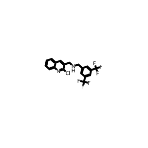 FC(F)(F)c1cc(CNCc2cc3ccccc3nc2Cl)cc(C(F)(F)F)c1